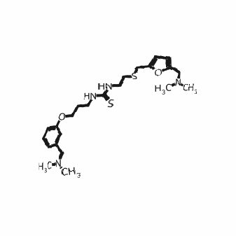 CN(C)Cc1cccc(OCCCNC(=S)NCCSCc2ccc(CN(C)C)o2)c1